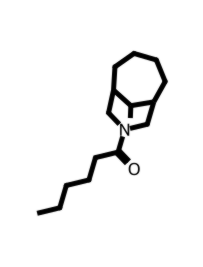 CCCCCC(=O)N1CC2CCCCC(C1)C2C